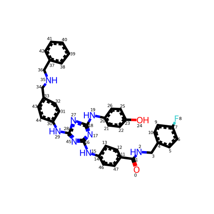 O=C(NCc1ccc(F)cc1)c1ccc(Nc2nc(Nc3ccc(O)cc3)nc(Nc3ccc(CNCc4ccccc4)cc3)n2)cc1